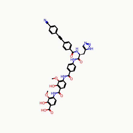 COc1c(NC(=O)c2ccc(NC(=O)c3ccc(NC(=O)[C@H](Cc4cnn[nH]4)NC(=O)c4ccc(C#Cc5ccc(C#N)cc5)cc4)cc3)c(OC)c2O)ccc(C(=O)O)c1O